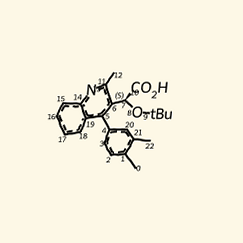 Cc1ccc(-c2c([C@H](OC(C)(C)C)C(=O)O)c(C)nc3ccccc23)cc1C